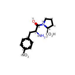 N[C@@H](Cc1ccc([N+](=O)[O-])cc1)C(=O)N1CCC[C@H]1C(=O)O